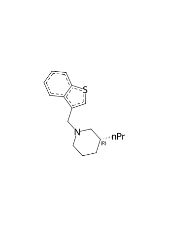 CCC[C@@H]1CCCN(Cc2csc3ccccc23)C1